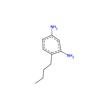 CCCCc1ccc(N)cc1N